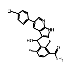 NC(=O)c1ccc(F)c(C(O)c2c[nH]c3ncc(-c4ccc(Cl)cc4)cc23)c1F